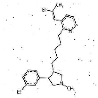 CC/C(C)=C/c1cccnc1CCCCCC1CN(C)CC1c1cccc(CC)c1